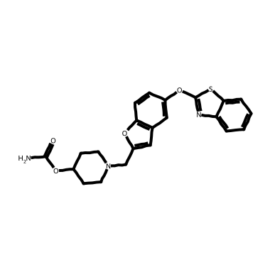 NC(=O)OC1CCN(Cc2cc3cc(Oc4nc5ccccc5s4)ccc3o2)CC1